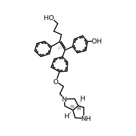 OCCC/C(=C(\c1ccc(O)cc1)c1ccc(OCCN2C[C@H]3CNC[C@H]3C2)cc1)c1ccccc1